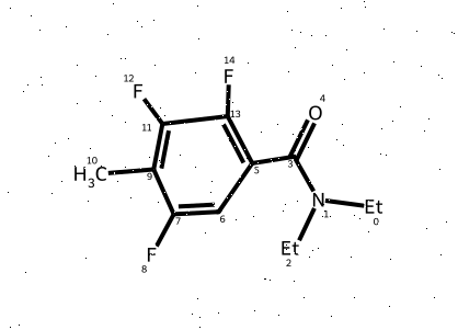 CCN(CC)C(=O)c1cc(F)c(C)c(F)c1F